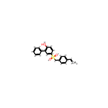 C=Cc1ccc(CS(=O)(=O)c2ccc(O)c(-c3ccccc3)c2)cc1